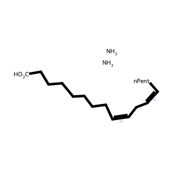 CCCCC/C=C\C/C=C\CCCCCCCC(=O)O.N.N